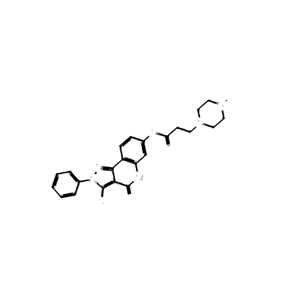 CN1CCN(CCC(=O)Nc2ccc3c(c2)[nH]c(=O)c2c(N)n(-c4ccccc4)nc23)CC1